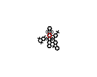 Cc1cc2c(cc1N1c3cc4c(cc3B3c5c1cc1ccccc1c5-c1c(ccc5c1C(C)(C)c1ccccc1-5)N3c1ccc(C(C)(C)C)cc1-c1ccccc1)Oc1ccccc1O4)C(C)(C)CCC2(C)C